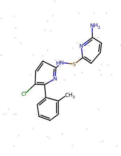 Cc1ccccc1-c1nc(NSc2cccc(N)n2)ccc1Cl